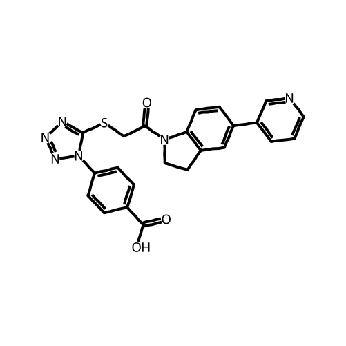 O=C(O)c1ccc(-n2nnnc2SCC(=O)N2CCc3cc(-c4cccnc4)ccc32)cc1